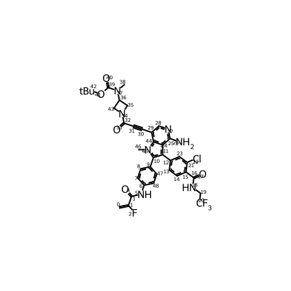 C=C(F)C(=O)Nc1ccc(-c2c(-c3ccc(C(=O)NCC(F)(F)F)c(Cl)c3)c3c(N)ncc(C#CC(=O)N4CC(N(C)C(=O)OC(C)(C)C)C4)c3n2C)cc1